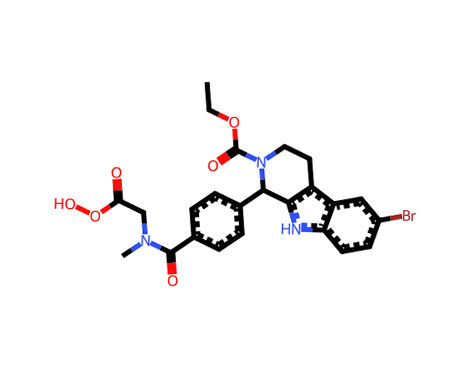 CCOC(=O)N1CCc2c([nH]c3ccc(Br)cc23)C1c1ccc(C(=O)N(C)CC(=O)OO)cc1